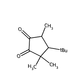 CC1C(=O)C(=O)C(C)(C)C1C(C)(C)C